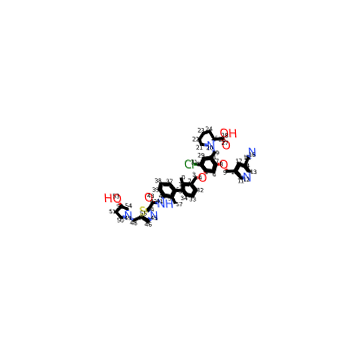 Cc1c(COc2cc(OCc3cncc(C#N)c3)c(CN3CCCCC3C(=O)O)cc2Cl)cccc1-c1cccc(NC(=O)c2ncc(CN3CCC(O)C3)s2)c1C